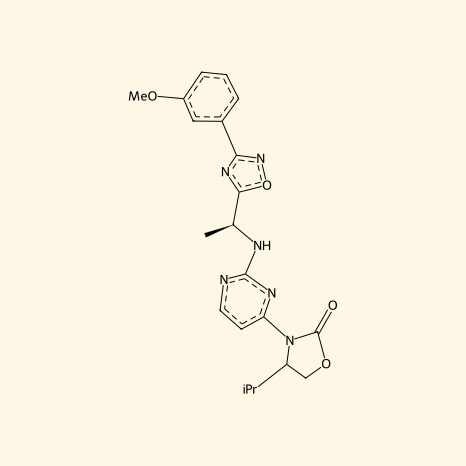 COc1cccc(-c2noc([C@H](C)Nc3nccc(N4C(=O)OCC4C(C)C)n3)n2)c1